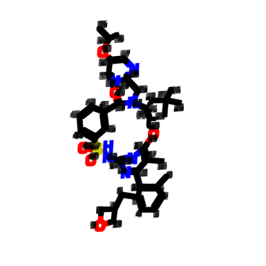 Cc1cccc(CC2COC2)c1-c1nc2nc(c1C)OC[C@@H](CC(C)(C)C)N(Cc1ncc(OC(C)C)cn1)C(=O)c1cccc(c1)S(=O)(=O)N2